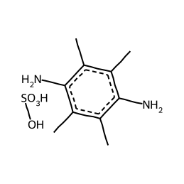 Cc1c(C)c(N)c(C)c(C)c1N.O=S(=O)(O)O